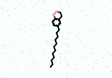 CCCCCCCCCCCCc1ccc2c(c1)CCOO2